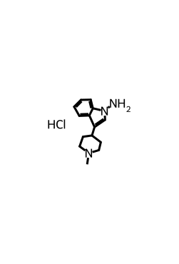 CN1CCC(c2cn(N)c3ccccc23)CC1.Cl